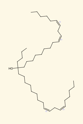 CCCCC/C=C\C/C=C\CCCCCCCCC(O)(CCCC)CCCCCCCC/C=C\C/C=C\CCCCC